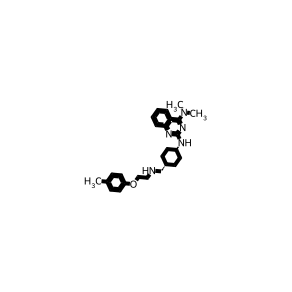 Cc1ccc(OCCNC[C@H]2CC[C@@H](Nc3nc(N(C)C)c4ccccc4n3)CC2)cc1